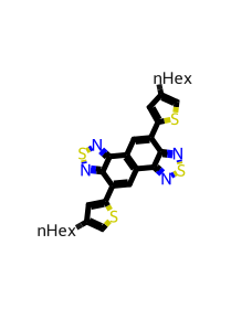 CCCCCCc1csc(-c2cc3c(cc(-c4cc(CCCCCC)cs4)c4nsnc43)c3nsnc23)c1